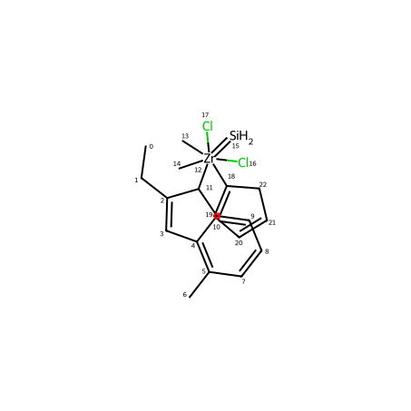 CCC1=Cc2c(C)cccc2[CH]1[Zr]([CH3])([CH3])(=[SiH2])([Cl])([Cl])[C]1=CC=CC1